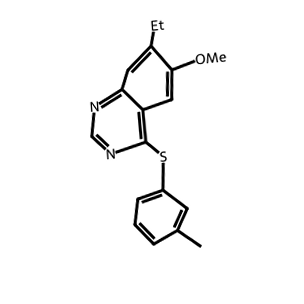 CCc1cc2ncnc(Sc3cccc(C)c3)c2cc1OC